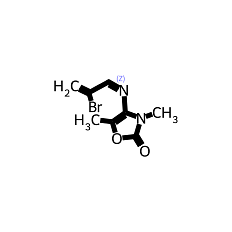 C=C(Br)/C=N\c1c(C)oc(=O)n1C